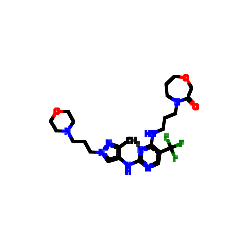 Cc1nn(CCCN2CCOCC2)cc1Nc1ncc(C(F)(F)F)c(NCCCN2CCCOCC2=O)n1